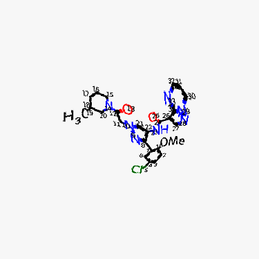 COc1ccc(Cl)cc1-c1nn(CC(=O)N2CCCC(C)C2)cc1NC(=O)c1cnn2cccnc12